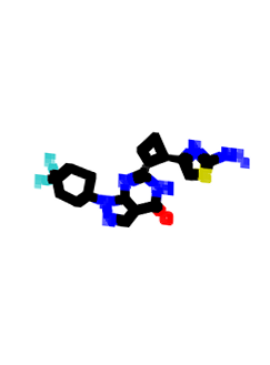 Nc1nc([C@@H]2CC[C@H]2C2=NC3C(C=NN3C3CCC(F)(F)CC3)C(=O)N2)cs1